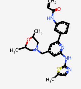 C=CC(=O)Nc1cccc(-c2cc(CN3CC(C)OC(C)C3)cc(Nc3ncc(C)s3)n2)c1